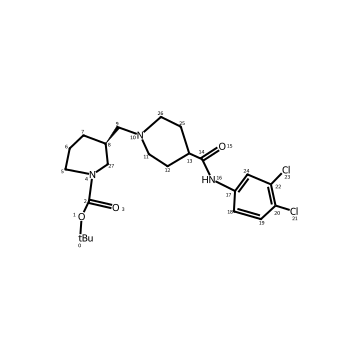 CC(C)(C)OC(=O)N1CCC[C@@H](CN2CCC(C(=O)Nc3ccc(Cl)c(Cl)c3)CC2)C1